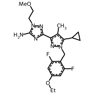 CCOc1cc(F)c(Cn2nc(-c3nc(N)n(CCOC)n3)c(C)c2C2CC2)c(F)c1